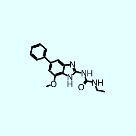 CCNC(=O)Nc1nc2cc(-c3ccccc3)cc(OC)c2[nH]1